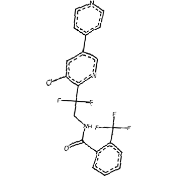 O=C(NCC(F)(F)c1ncc(-c2ccncc2)cc1Cl)c1ccccc1C(F)(F)F